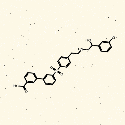 O=C(O)c1cccc(-c2cccc(S(=O)(=O)c3ccc(CCNCC(O)c4cccc(Cl)c4)cc3)c2)c1